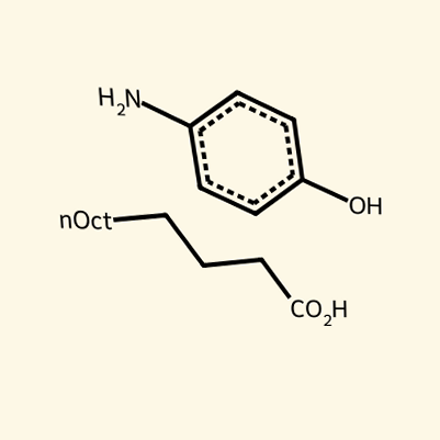 CCCCCCCCCCCC(=O)O.Nc1ccc(O)cc1